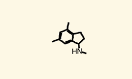 CNC1CCc2c(C)cc(C)cc21